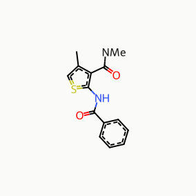 CNC(=O)c1c(C)csc1NC(=O)c1ccccc1